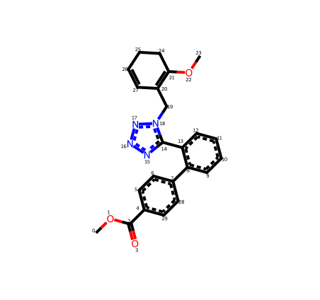 COC(=O)c1ccc(-c2ccccc2-c2nnnn2CC2=C(OC)CCC=C2)cc1